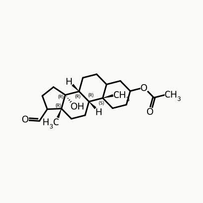 CC(=O)OC1CC[C@@]2(C)C(CC[C@@H]3[C@H]2CC[C@]2(C)C(C=O)CC[C@@]32O)C1